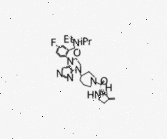 C=C1CC2C[C@H]1[C@@H](C(=O)N1CCCC(N3CCN(c4ccc(F)cc4C(=O)N(CC)C(C)C)c4cncnc43)CC1)N2